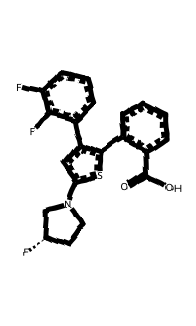 O=C(O)c1ccccc1-c1sc(N2CC[C@H](F)C2)cc1-c1cccc(F)c1F